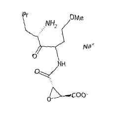 COCCC(NC(=O)[C@H]1O[C@@H]1C(=O)[O-])C(=O)[C@@H](N)CC(C)C.[Na+]